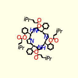 CC(C)C=CC(=O)Oc1ccccc1-c1c2nc(c(-c3ccccc3OC(=O)C=CC(C)C)c3ccc([nH]3)c(-c3ccccc3OC(=O)C=CC(C)C)c3nc(c(-c4ccccc4OC(=O)C=CC(C)C)c4ccc1[nH]4)C=C3)C=C2